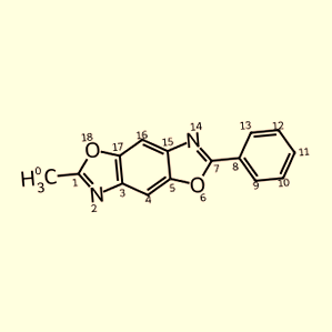 Cc1nc2cc3oc(-c4ccccc4)nc3cc2o1